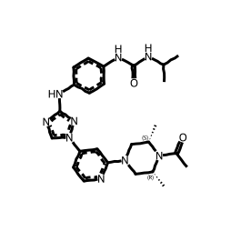 CC(=O)N1[C@H](C)CN(c2cc(-n3cnc(Nc4ccc(NC(=O)NC(C)C)cc4)n3)ccn2)C[C@@H]1C